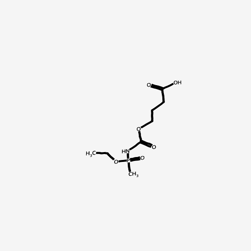 CCOP(C)(=O)NC(=O)OCCCC(=O)O